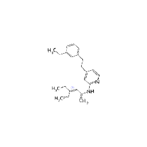 C=C/C(=C\C(=C)Nc1cc(CCc2cccc(CC)c2)ccn1)CC